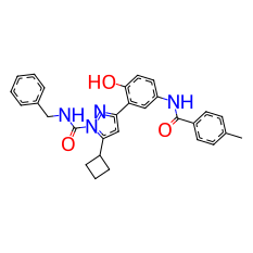 Cc1ccc(C(=O)Nc2ccc(O)c(-c3cc(C4CCC4)n(C(=O)NCc4ccccc4)n3)c2)cc1